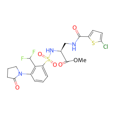 COC(=O)[C@H](CNC(=O)c1ccc(Cl)s1)NS(=O)(=O)c1cccc(N2CCCC2=O)c1C(F)F